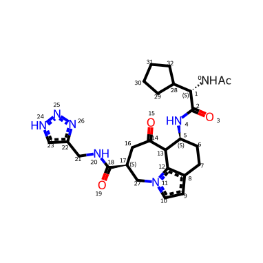 CC(=O)N[C@H](C(=O)N[C@H]1CCc2ccn3c2C1C(=O)C[C@H](C(=O)NCc1c[nH]nn1)C3)C1CCCC1